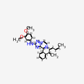 C=C(/C=C\C=C/C)c1ccccc1-c1nccn2nc(Nc3ccc(OC)c(OC)c3)nc12